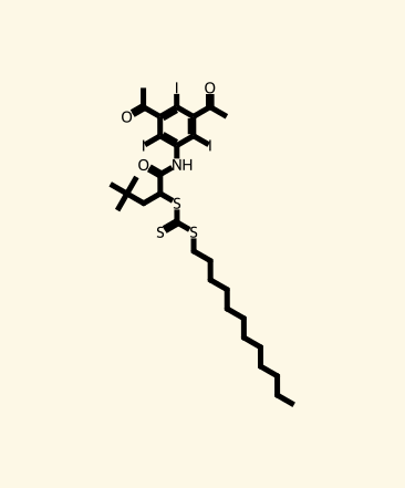 CCCCCCCCCCCCSC(=S)SC(CC(C)(C)C)C(=O)Nc1c(I)c(C(C)=O)c(I)c(C(C)=O)c1I